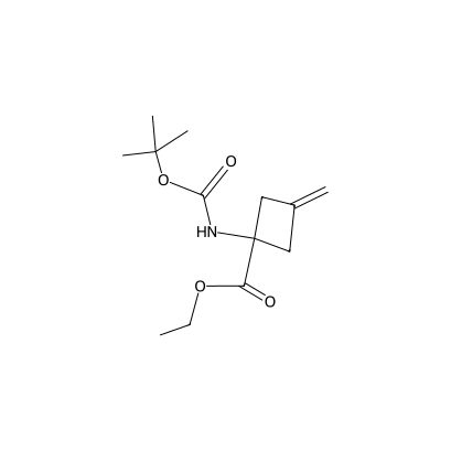 C=C1CC(NC(=O)OC(C)(C)C)(C(=O)OCC)C1